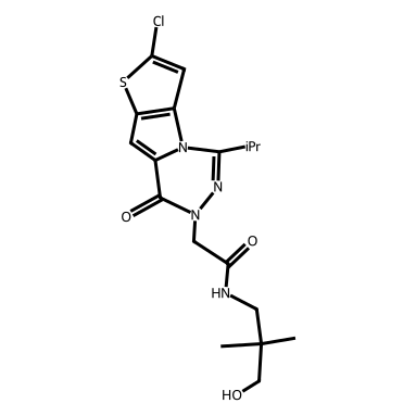 CC(C)c1nn(CC(=O)NCC(C)(C)CO)c(=O)c2cc3sc(Cl)cc3n12